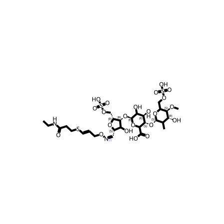 CCNC(=O)CCSC=CCO/N=C\[C@@H]1O[C@H](COS(=O)(=O)O)[C@H](O[C@@H]2OC(C(=O)O)[C@@H](O[C@@H]3OC(COS(=O)(=O)O)[C@@H](OC)[C@H](O)C3C)[C@H](O)C2O)C1O